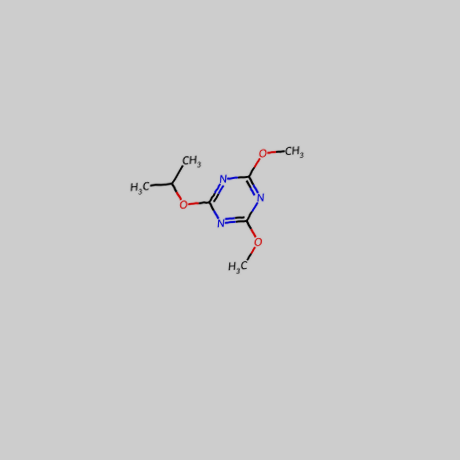 COc1nc(OC)nc(OC(C)C)n1